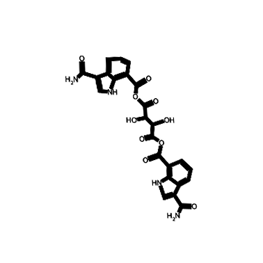 NC(=O)c1c[nH]c2c(C(=O)OC(=O)C(O)C(O)C(=O)OC(=O)c3cccc4c(C(N)=O)c[nH]c34)cccc12